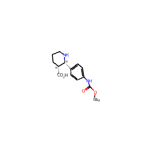 CC(C)(C)OC(=O)Nc1ccc([C@H]2NCCC[C@H]2C(=O)O)cc1